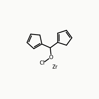 ClOC(C1=CC=CC1)C1=CC=CC1.[Zr]